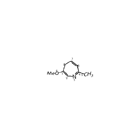 COC1=CN=C(C)C=CC1